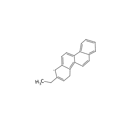 CCC1=CCc2c(ccc3c2ccc2ccccc23)[CH]1